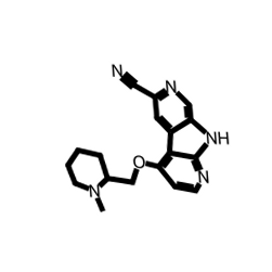 CN1CCCCC1COc1ccnc2[nH]c3cnc(C#N)cc3c12